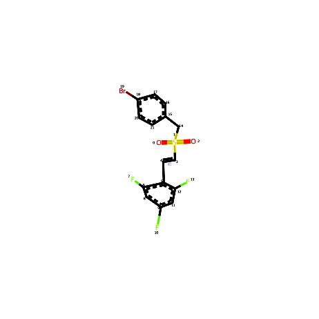 O=S(=O)(/C=C/c1c(F)cc(F)cc1F)Cc1ccc(Br)cc1